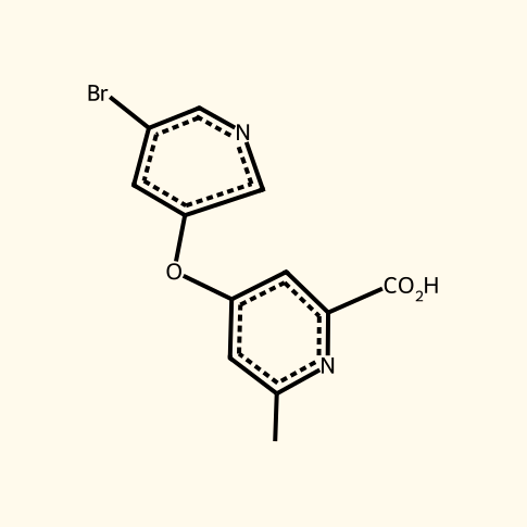 Cc1cc(Oc2cncc(Br)c2)cc(C(=O)O)n1